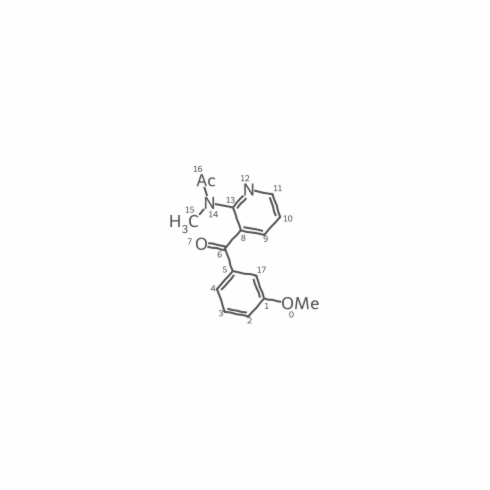 COc1cccc(C(=O)c2cccnc2N(C)C(C)=O)c1